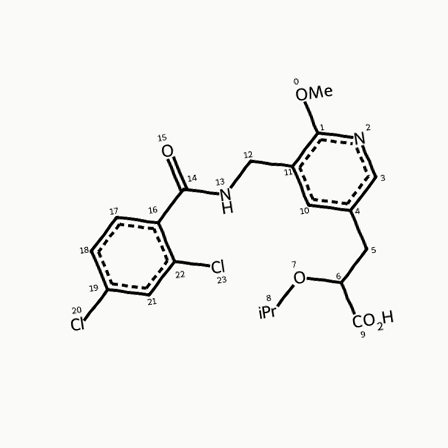 COc1ncc(CC(OC(C)C)C(=O)O)cc1CNC(=O)c1ccc(Cl)cc1Cl